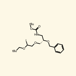 CC(C)(C)COC(I)COC[C@H](CNC(=O)OC(C)(C)C)OCc1ccccc1